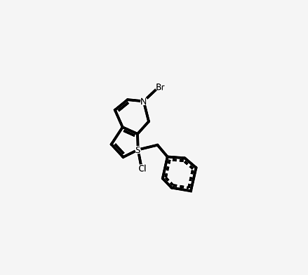 ClS1(Cc2ccccc2)C=CC2=C1CN(Br)C=C2